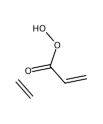 C=C.C=CC(=O)OO